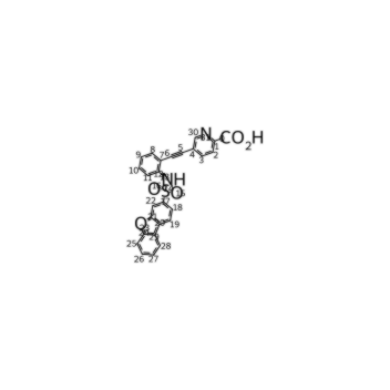 O=C(O)c1ccc(C#Cc2ccccc2NS(=O)(=O)c2ccc3c(c2)oc2ccccc23)cn1